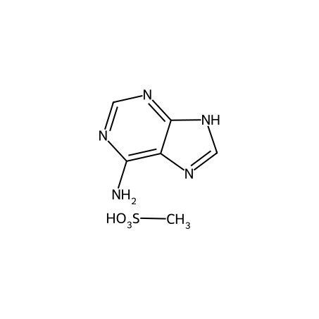 CS(=O)(=O)O.Nc1ncnc2[nH]cnc12